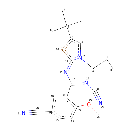 CCCn1cc(C(C)(C)C)sc1=NC(=NC#N)c1cc(C#N)ccc1OC